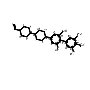 C=CC1CCC(C2CCC(c3cc(F)c(-c4cc(F)c(F)c(F)c4)c(F)c3)CC2)CC1